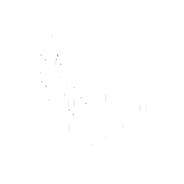 CC(C)CC[C@@]1(C)C(=O)C(C2=NS(O)(O)c3cc(NS(=O)(=O)c4nc5ccccc5[nH]4)ccc3N2)=C(O)c2ccccc21